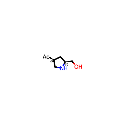 CC(=O)[C@@H]1CN[C@H](CO)C1